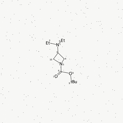 CCN(CC)C1CN(C(=O)OC(C)(C)C)C1